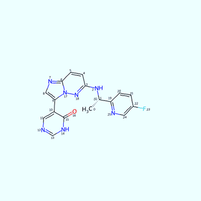 C[C@H](Nc1ccc2ncc(-c3cnc[nH]c3=O)n2n1)c1ccc(F)cn1